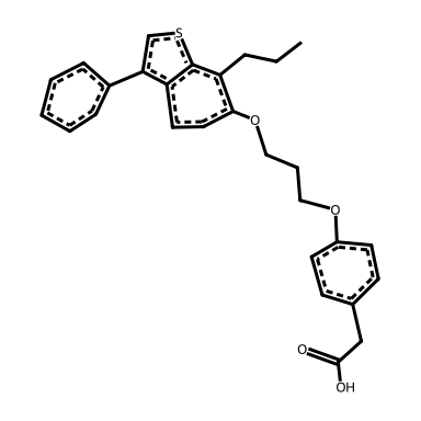 CCCc1c(OCCCOc2ccc(CC(=O)O)cc2)ccc2c(-c3ccccc3)csc12